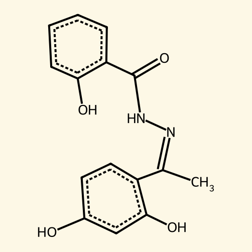 CC(=NNC(=O)c1ccccc1O)c1ccc(O)cc1O